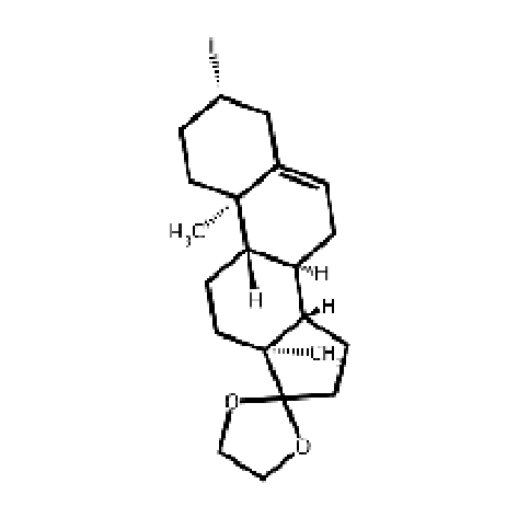 C[C@]12CC[C@H](I)CC1=CC[C@@H]1[C@@H]2CC[C@@]2(C)[C@H]1CCC21OCCO1